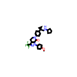 COc1ccc(-n2nc(C(F)(F)F)c3c2C(=O)N(c2ccc(C4(CNC5CCCC5)CC4)cc2)CC3)cc1